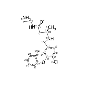 C[C@H](CC(=O)NCCN)NCc1ccc(Cl)c(Oc2ccccc2)c1F